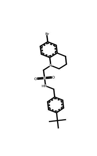 CC(C)(C)c1ccc(CNS(=O)(=O)CN2CCCc3cc(Br)ccc32)cc1